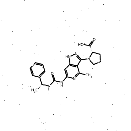 Cc1nc(NC(=O)N[C@H](C)c2ccccc2)cc2[nH]nc(N3CCC[C@H]3C(=O)O)c12